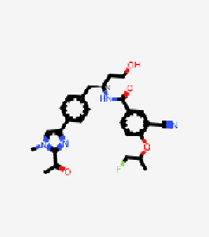 CC(=O)c1nc(-c2ccc(C[C@@H](CCO)NC(=O)c3ccc(OC(C)CF)c(C#N)c3)cc2)cn1C